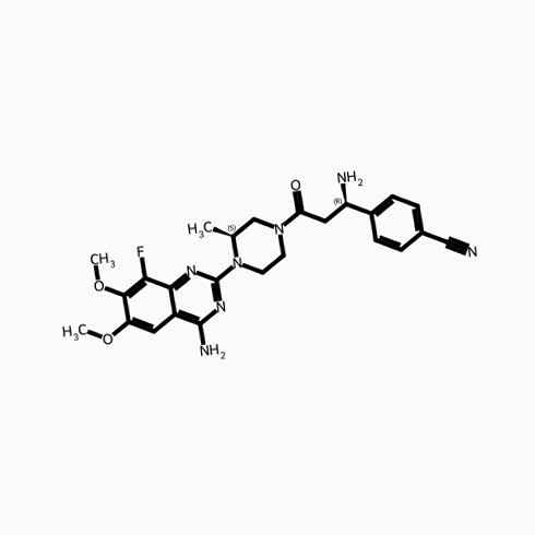 COc1cc2c(N)nc(N3CCN(C(=O)C[C@@H](N)c4ccc(C#N)cc4)C[C@@H]3C)nc2c(F)c1OC